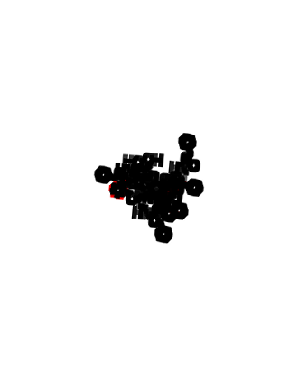 O=C(NCC[C@H](OCc1ccccc1)C(=O)N[C@@H]1C(OCc2ccccc2)[C@H](NC(=O)OCc2ccccc2)C(O[C@H]2O[C@H](CNC(=O)OCc3ccccc3)CCC2NC(=O)OCc2ccccc2)C(O)[C@H]1O[C@H]1OC(CO)[C@@H](O)[C@H](NC(=O)OCc2ccccc2)C1OCc1ccccc1)OCc1ccccc1